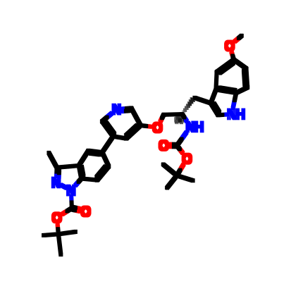 COc1ccc2[nH]cc(C[C@@H](COc3cncc(-c4ccc5c(c4)c(C)nn5C(=O)OC(C)(C)C)c3)NC(=O)OC(C)(C)C)c2c1